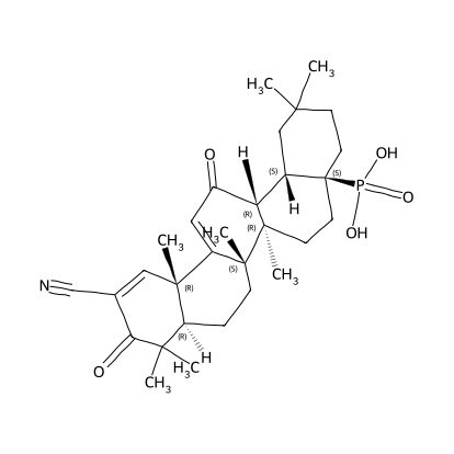 CC1(C)CC[C@]2(P(=O)(O)O)CC[C@]3(C)[C@H](C(=O)C=C4[C@@]5(C)C=C(C#N)C(=O)C(C)(C)[C@@H]5CC[C@]43C)[C@@H]2C1